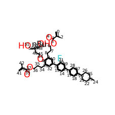 C=C(C)C(=O)OCCCc1cc(-c2ccc(-c3ccc(C4CCC(C)CC4)cc3)cc2F)cc(CCCOC(=O)C(=C)C)c1OCCC(CO)(CO)CCCC